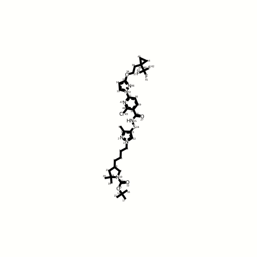 Cc1nn(CCCCC2CN(C(=O)OC(C)(C)C)C(C)(C)C2)cc1SNC(=O)c1ccc(-n2ccc(OCCC3(C(F)(F)F)CC3)n2)nc1Cl